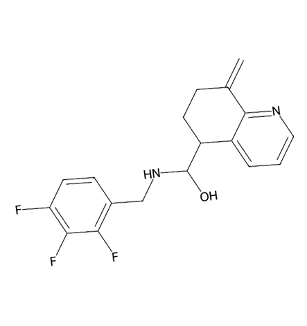 C=C1CCC(C(O)NCc2ccc(F)c(F)c2F)c2cccnc21